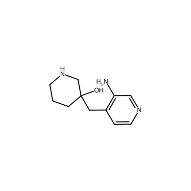 Nc1cnccc1CC1(O)CCCNC1